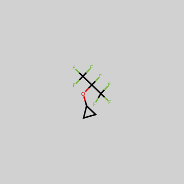 FC(F)(F)C(F)(OC1[CH]C1)C(F)(F)F